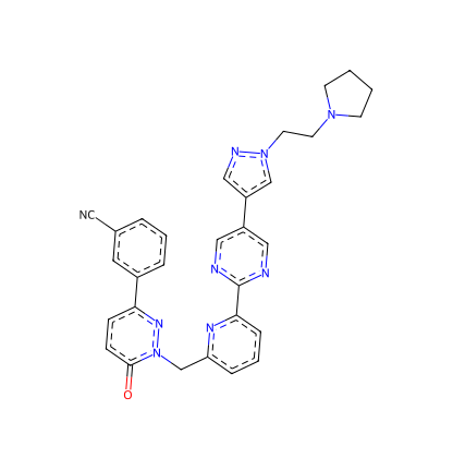 N#Cc1cccc(-c2ccc(=O)n(Cc3cccc(-c4ncc(-c5cnn(CCN6CCCC6)c5)cn4)n3)n2)c1